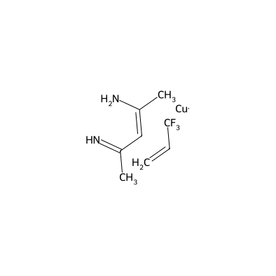 C=CC(F)(F)F.CC(=N)C=C(C)N.[Cu]